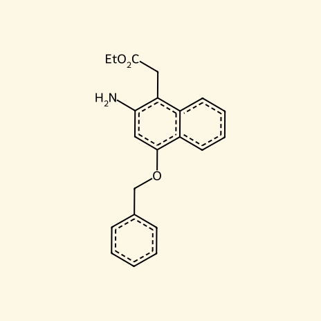 CCOC(=O)Cc1c(N)cc(OCc2ccccc2)c2ccccc12